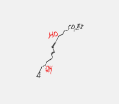 CCOC(=O)CCC[C@H](O)C#C/C=C/C=C/[C@H](O)CC1CC1